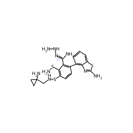 NN/N=C(\N)c1c(-c2cccc3sc(N)nc23)ccc(SNCC2(N)CC2)c1SN